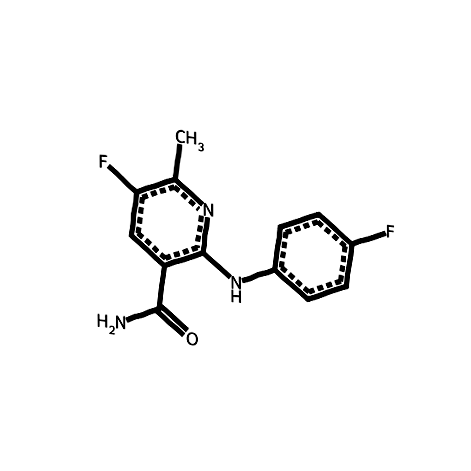 Cc1nc(Nc2ccc(F)cc2)c(C(N)=O)cc1F